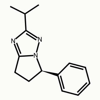 CC(C)c1nc2n(n1)[C@@H](c1ccccc1)CC2